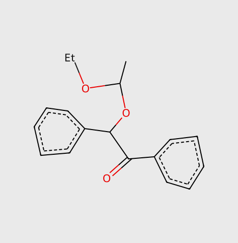 CCOC(C)OC(C(=O)c1ccccc1)c1ccccc1